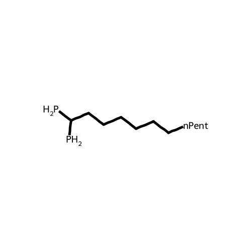 CCCCCCCCCCCC(P)P